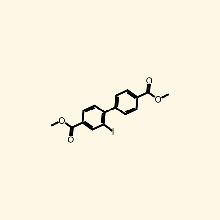 COC(=O)c1ccc(-c2ccc(C(=O)OC)cc2I)cc1